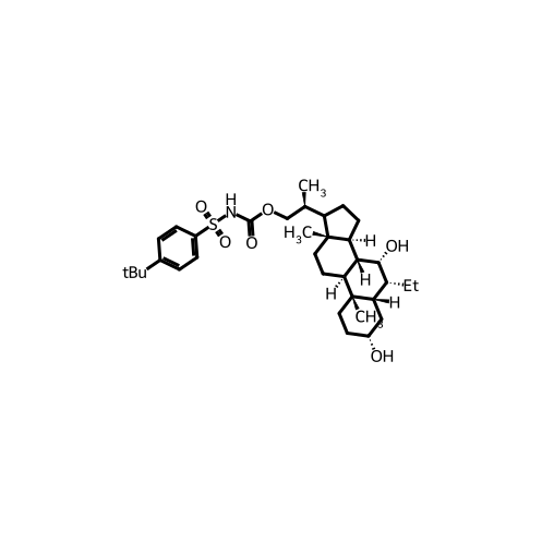 CC[C@H]1[C@@H](O)[C@@H]2[C@H](CC[C@]3(C)C([C@H](C)COC(=O)NS(=O)(=O)c4ccc(C(C)(C)C)cc4)CC[C@@H]23)[C@@]2(C)CC[C@@H](O)C[C@@H]12